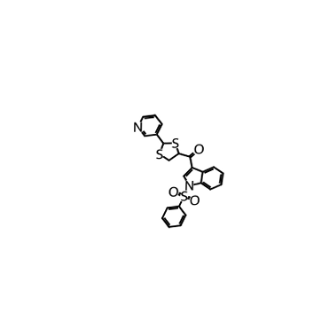 O=C(c1cn(S(=O)(=O)c2ccccc2)c2ccccc12)C1CSC(c2cccnc2)S1